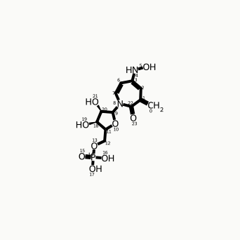 C=C1C=C(NO)C=CN(C2OC(COP(=O)(O)O)[C@@H](O)[C@H]2O)C1=O